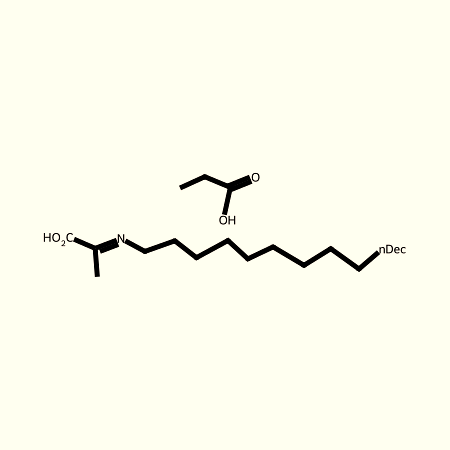 CCC(=O)O.CCCCCCCCCCCCCCCCCCCN=C(C)C(=O)O